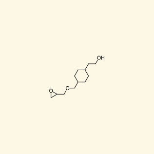 OCCC1CCC(COCC2CO2)CC1